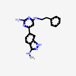 CNc1n[nH]c2cc(-c3cc(NCCc4ccccc4)nc(N)n3)ccc12